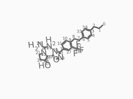 CCCc1ccc(CCc2ccc(-c3noc([C@@H]4[C@@H](O)CCN4C(N)N)n3)cc2C(F)(F)F)cc1